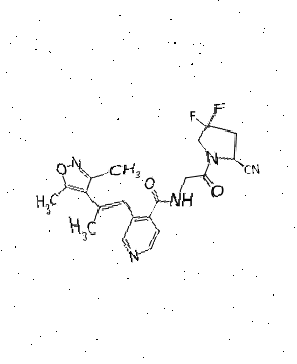 C/C(=C\c1cnccc1C(=O)NCC(=O)N1CC(F)(F)C[C@H]1C#N)c1c(C)noc1C